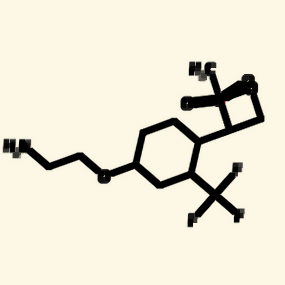 CS(=O)(=O)C1(C2CCC(OCCN)CC2C(F)(F)F)COC1